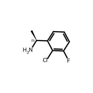 C[C@H](N)c1cccc(F)c1Cl